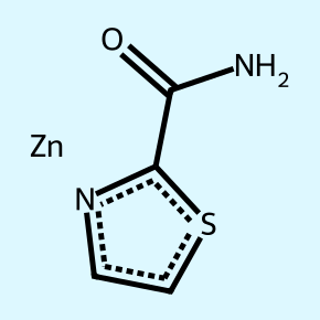 NC(=O)c1nccs1.[Zn]